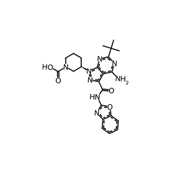 CC(C)(C)c1nc(N)c2c(C(=O)Nc3nc4ccccc4o3)nn([C@@H]3CCCN(C(=O)O)C3)c2n1